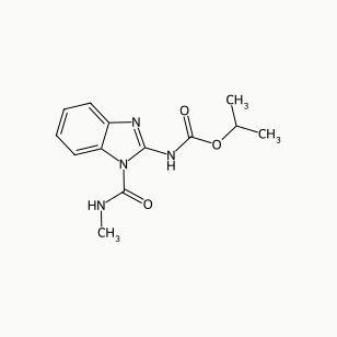 CNC(=O)n1c(NC(=O)OC(C)C)nc2ccccc21